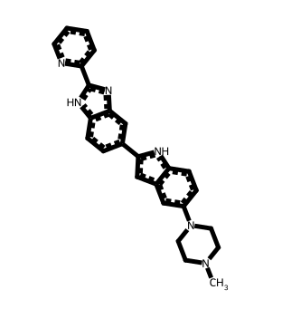 CN1CCN(c2ccc3[nH]c(-c4ccc5[nH]c(-c6ccccn6)nc5c4)cc3c2)CC1